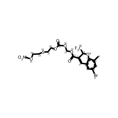 Cc1cc(Br)cc2c1OC(C(F)(F)F)C(C(=O)OCOC(=O)OCCSCCO[N+](=O)[O-])=C2